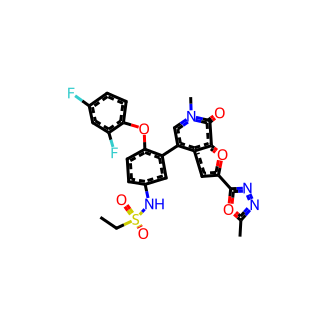 CCS(=O)(=O)Nc1ccc(Oc2ccc(F)cc2F)c(-c2cn(C)c(=O)c3oc(-c4nnc(C)o4)cc23)c1